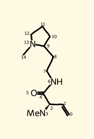 C=C[C@@H](NC)C(=O)NCCC1CCCN1C